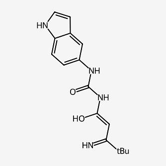 CC(C)(C)C(=N)/C=C(\O)NC(=O)Nc1ccc2[nH]ccc2c1